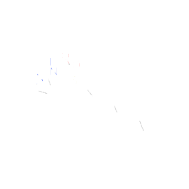 COC(=O)C(CSC/C=C(\C)CC/C=C(\C)CCC=C(C)C)Nc1ccccn1